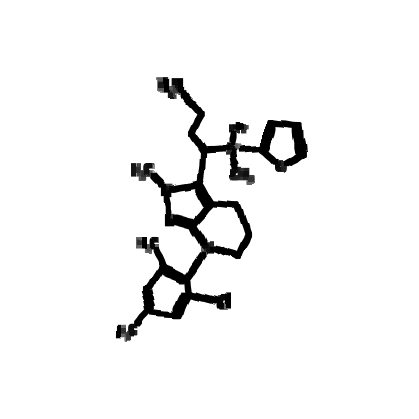 CCC[N+](C)(c1ccco1)C(CCN)c1c2c(nn1C)N(c1c(C)cc(C)cc1Cl)CCC2